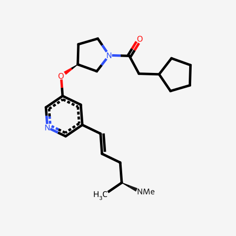 CN[C@@H](C)CC=Cc1cncc(O[C@H]2CCN(C(=O)CC3CCCC3)C2)c1